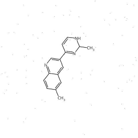 Cc1ccc2ncc(C3=NC(C)NC=C3)cc2c1